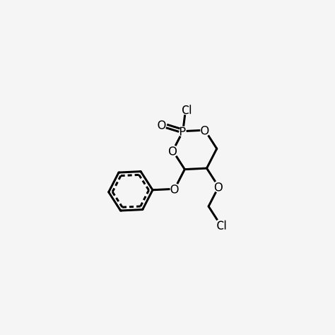 O=P1(Cl)OCC(OCCl)C(Oc2ccccc2)O1